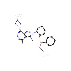 CNCCC(Oc1ccccc1-n1nc2c(N3CC(OC)C3)nnc(C)c2c1C)c1ccccc1